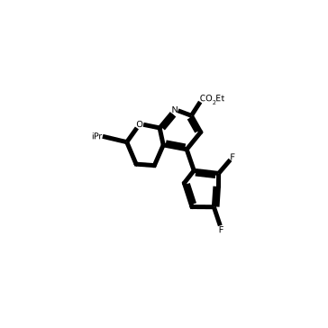 CCOC(=O)c1cc(-c2ccc(F)cc2F)c2c(n1)OC(C(C)C)CC2